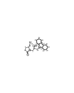 C[C@@H]1CCC(=O)N1CC(O)Cn1c2ccccc2c2ccccc21